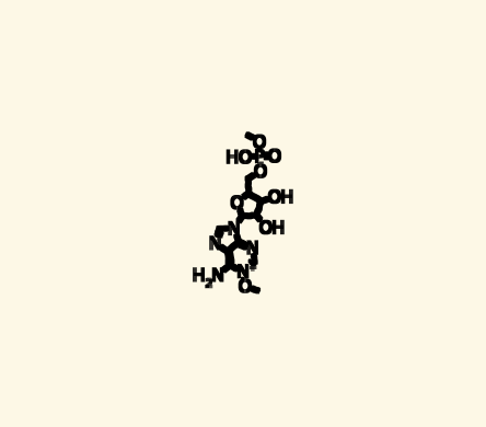 CO[n+]1cnc2c(ncn2C2OC(COP(=O)(O)OC)C(O)C2O)c1N